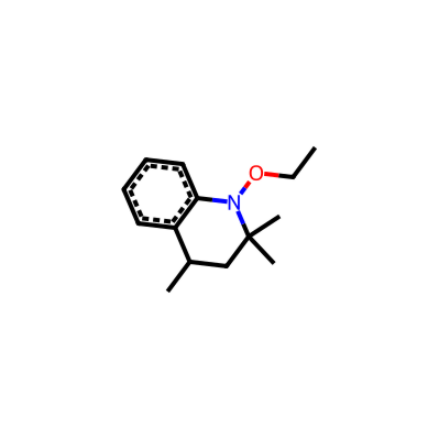 CCON1c2ccccc2C(C)CC1(C)C